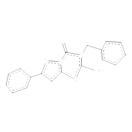 CSc1nc2cc(-c3ccccc3)nn2c(=O)n1Cc1ccccc1